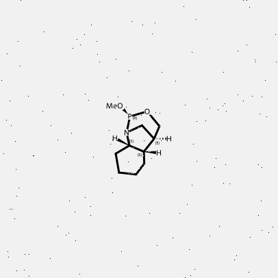 CO[P@@]1OC[C@@H]2CN1[C@H]1CCCC[C@@H]21